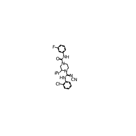 CC(C)C1CN(C(=O)Nc2cccc(F)c2)CCN1/C(=N/C#N)Nc1ccccc1Cl